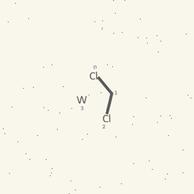 ClCCl.[W]